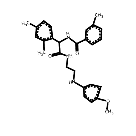 COc1ccc(NCCNC(=O)C(NC(=O)c2cccc(C)c2)c2ccc(C)cc2C)cc1